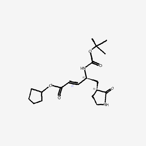 CC(C)(C)OC(=O)N[C@H](/C=C/C(=O)OC1CCCC1)C[C@@H]1CCNC1=O